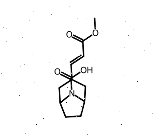 COC(=O)C=CC1CC2CCC(C1)N2C(=O)O